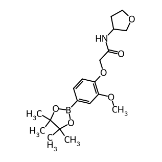 COc1cc(B2OC(C)(C)C(C)(C)O2)ccc1OCC(=O)NC1CCOC1